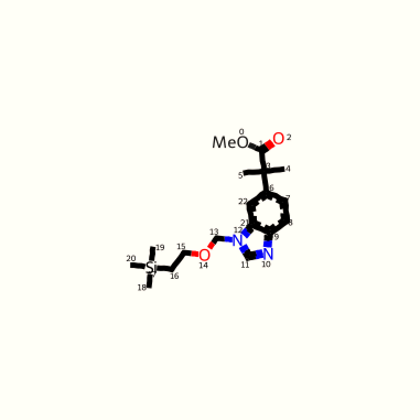 COC(=O)C(C)(C)c1ccc2ncn(COCC[Si](C)(C)C)c2c1